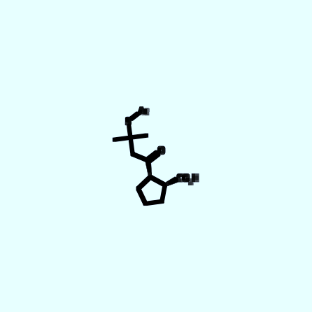 CC(=O)SC(C)(C)CC(=O)[C@@H]1CCC[C@@H]1C(=O)O